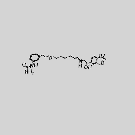 CC1(C)OCc2cc([C@@H](O)CNCCCCCCCOCCCc3cccc(NC(N)=O)c3)ccc2O1